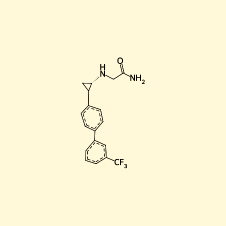 NC(=O)CN[C@H]1CC1c1ccc(-c2cccc(C(F)(F)F)c2)cc1